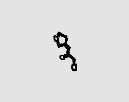 O=C(CCl)CC1CCOC1